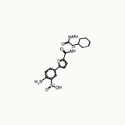 CNC(=O)[C@@H](NC(=O)c1ccc(-c2ccc(N)c([N+](=O)O)c2)o1)C1CCCCC1